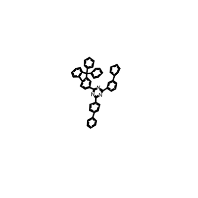 c1ccc(-c2ccc(-c3nc(-c4cccc(-c5ccccc5)c4)nc(-c4ccc5c(c4)C(c4ccccc4)(c4ccccc4)c4ccccc4-5)n3)cc2)cc1